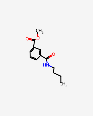 CCCCNC(=O)c1cccc(C(=O)OC)c1